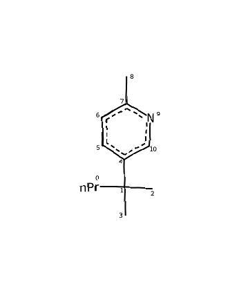 CCCC(C)(C)c1ccc(C)nc1